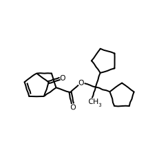 CC(OC(=O)C1CC2C=CC1C2=O)(C1CCCC1)C1CCCC1